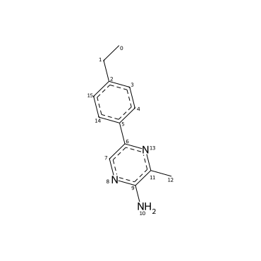 CCc1ccc(-c2cnc(N)c(C)n2)cc1